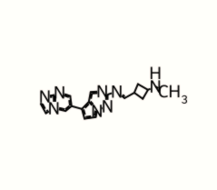 CNC1CC(/C=N/c2ncc3c(-c4cnc5nccn5c4)ccn3n2)C1